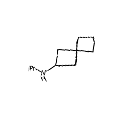 CC(C)NC1CC2(CCC2)C1